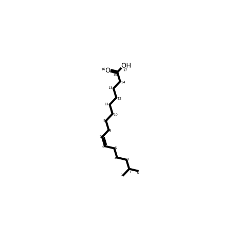 CC(C)CCC/C=C\CCCCCCCC(=O)O